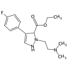 CCOC(=O)C1C(c2ccc(F)cc2)=CNN1CCN(C)C